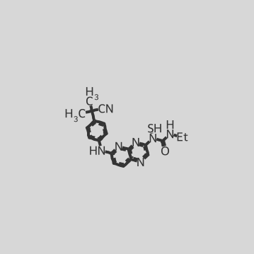 CCNC(=O)N(S)c1cnc2ccc(Nc3ccc(C(C)(C)C#N)cc3)nc2n1